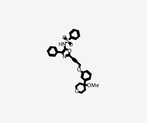 COC1(c2cccc(OCC#Cc3nc(-c4ccccc4)c(NS(=O)(=O)c4ccccc4)o3)c2)CCOCC1